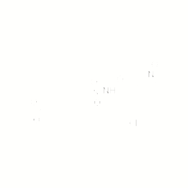 COC(=O)CCc1ccc(S(=O)(=O)Nc2ccc(Cl)cc2C(=O)c2ccc[n+]([O-])c2C)cc1